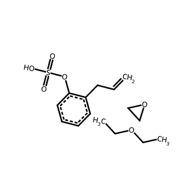 C1CO1.C=CCc1ccccc1OS(=O)(=O)O.CCOCC